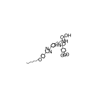 CCCCCCCOc1ccc(-c2cnc(-c3ccc(C[C@@H](CN[C@H](C)C(=O)O)NC(=O)c4ccc(S(C)(=O)=O)cc4)cc3)nc2)cc1